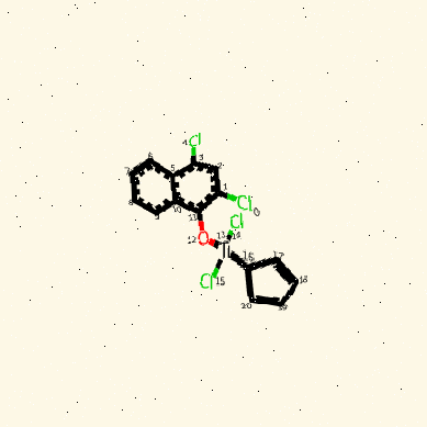 Clc1cc(Cl)c2ccccc2c1[O][Ti]([Cl])([Cl])[CH]1C=CC=C1